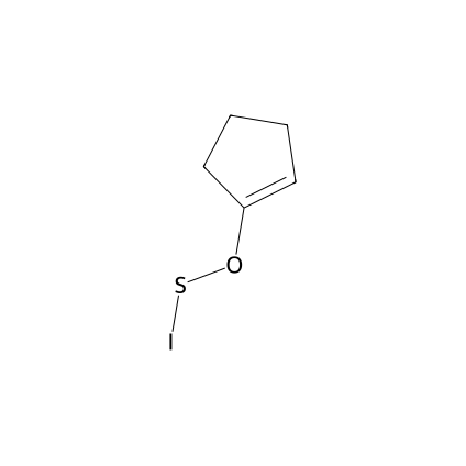 ISOC1=CCCC1